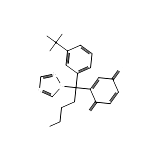 CCCCC(C1=CC(=O)C=CC1=O)(c1cccc(C(F)(F)F)c1)n1cncn1